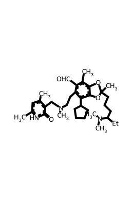 CCC(CCCC1(C)Oc2c(C)c(C=O)c(CCN(C)Cc3c(C)cc(C)[nH]c3=O)c(C3CCCC3)c2O1)N(C)C